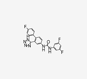 O=C(Nc1cc(F)cc(F)c1)Nc1ccc(-c2ccc(F)cc2)c(-c2nnn[nH]2)c1